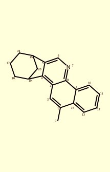 Cc1cc2c3c(cnc2c2ccccc12)C1CCCC3C1